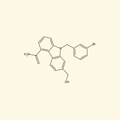 NC(=O)c1cccc2c1c1[c]cc(CO)cc1n2Cc1cccc(Br)c1